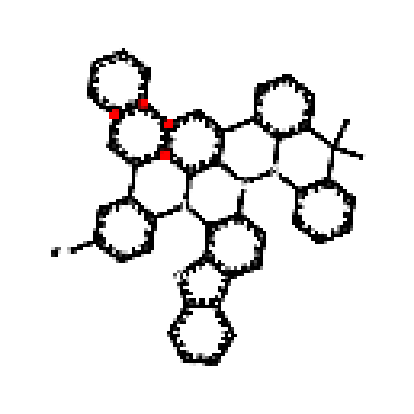 CC(C)(C)c1ccc(N2c3cc(-c4ccccc4)cc4c3B(c3ccc5c(oc6ccccc65)c32)N2c3ccccc3C(C)(C)c3cccc-4c32)c(-c2ccccc2)c1